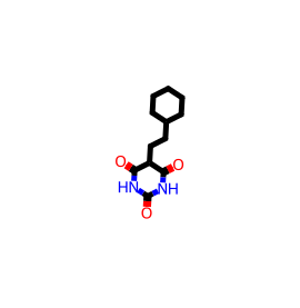 O=C1NC(=O)C(CCC2CCCCC2)C(=O)N1